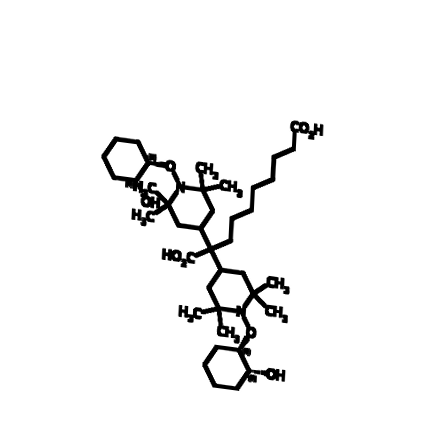 CC1(C)CC(C(CCCCCCCC(=O)O)(C(=O)O)C2CC(C)(C)N(O[C@@H]3CCCC[C@H]3O)C(C)(C)C2)CC(C)(C)N1O[C@@H]1CCCC[C@H]1O